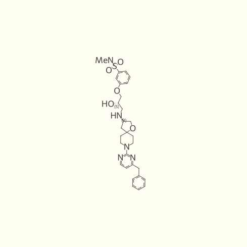 CNS(=O)(=O)c1cccc(OC[C@@H](O)CN[C@H]2COC3(CCN(c4nccc(Cc5ccccc5)n4)CC3)C2)c1